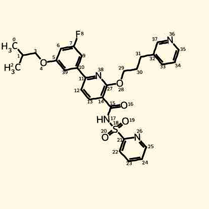 CC(C)COc1cc(F)cc(-c2ccc(C(=O)NS(=O)(=O)c3ccccn3)c(OCCCc3cccnc3)n2)c1